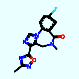 Cc1noc(-c2ncn3c2CN(C)C(=O)c2cc(F)ccc2-3)n1